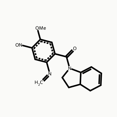 C=Nc1cc(N=O)c(OC)cc1C(=O)N1CCC2CC=CC=C21